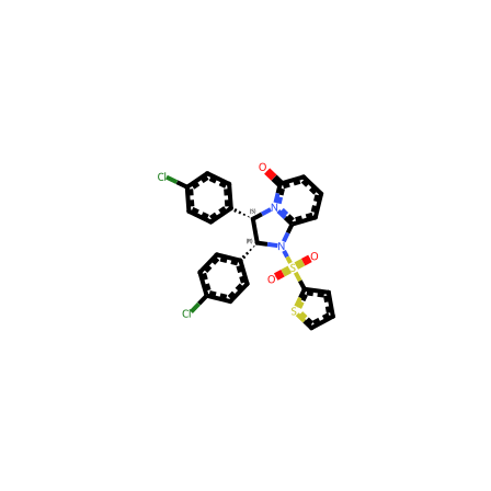 O=c1cccc2n1[C@@H](c1ccc(Cl)cc1)[C@@H](c1ccc(Cl)cc1)N2S(=O)(=O)c1cccs1